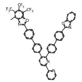 Cc1c(C(F)(F)F)c(C(F)(F)F)c(C(F)(F)F)c2oc(-c3ccc(-c4ccc(-c5ccc(-c6ccccn6)nc5-c5ccc(-c6ccc(-c7nc8ccccc8o7)cc6)cc5)cc4)cc3)nc12